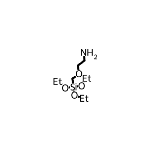 CCO[Si](COCCN)(OCC)OCC